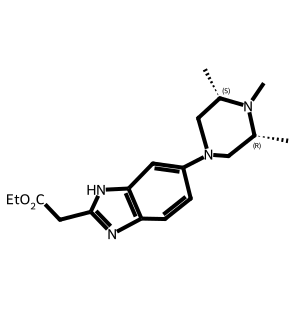 CCOC(=O)Cc1nc2ccc(N3C[C@@H](C)N(C)[C@@H](C)C3)cc2[nH]1